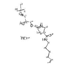 C=CCCCCNC(=O)c1cnc(OCC(O)CNC(C)(C)C)s1.Cl